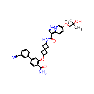 CC(C)(O)COc1ccc2c(C(=O)NC3CC4(C3)CC(Oc3cc(-c5cccc(C#N)c5)ccc3C(N)=O)C4)cnn2c1